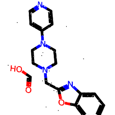 O=CO.c1ccc2oc(CN3CCN(c4ccncc4)CC3)nc2c1